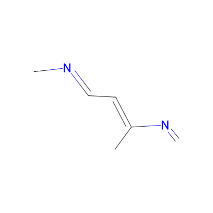 C=N/C(C)=C/C=N/C